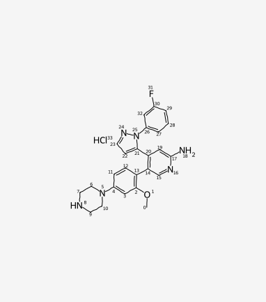 COc1cc(N2CCNCC2)ccc1-c1cnc(N)cc1-c1ccnn1-c1cccc(F)c1.Cl